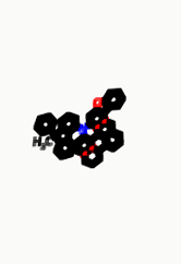 CC1(c2ccccc2)c2ccccc2-c2c(N(c3ccc4c(c3)oc3ccccc34)c3ccccc3-c3cccc4cccc(C5CCCCC5)c34)cccc21